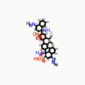 [H]/N=N/C1=CC(S(=O)(=O)O)C(N)(c2ccc(-c3ccc(C4(N)c5ccccc5C(/N=N/[H])=CC4S(=O)(=O)O)cc3CC)c(CC)c2)c2ccccc21